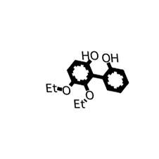 CCOc1ccc(O)c(-c2ccccc2O)c1OCC